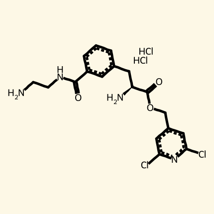 Cl.Cl.NCCNC(=O)c1cccc(C[C@H](N)C(=O)OCc2cc(Cl)nc(Cl)c2)c1